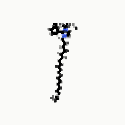 CCCCCCCCCCCCCCCCCCC[n+]1ccn(C(C)C)c1-c1ccccc1